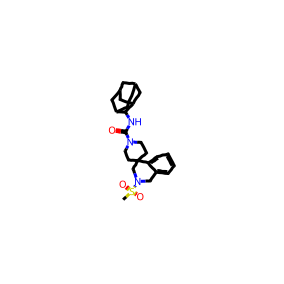 CS(=O)(=O)N1Cc2ccccc2C2(CCN(C(=O)NC3C4CC5CC(C4)CC3C5)CC2)C1